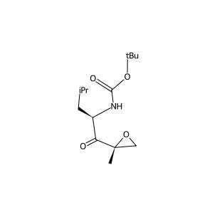 CC(C)C[C@@H](NC(=O)OC(C)(C)C)C(=O)[C@@]1(C)CO1